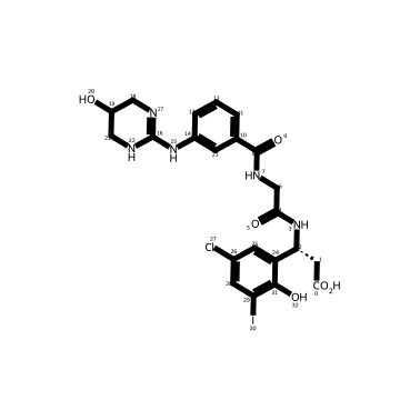 O=C(O)C[C@@H](NC(=O)CNC(=O)c1cccc(NC2=NCC(O)CN2)c1)c1cc(Cl)cc(I)c1O